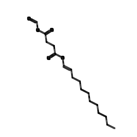 CCCCCCCCCCC=COC(=O)CCC(=O)OC=O